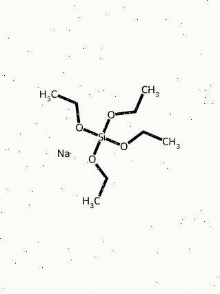 CCO[Si](OCC)(OCC)OCC.[Na]